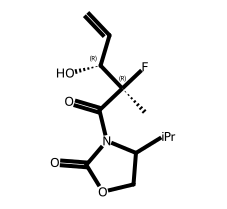 C=C[C@@H](O)[C@@](C)(F)C(=O)N1C(=O)OCC1C(C)C